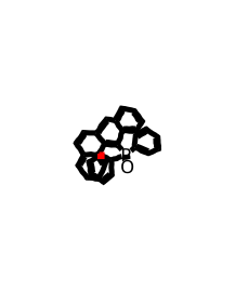 O=P(c1ccccc1)(c1ccccc1)c1c2ccccc2cc2ccc3ccccc3c12